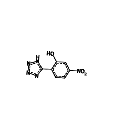 O=[N+]([O-])c1ccc(-c2nnn[nH]2)c(O)c1